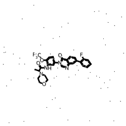 CC(C(=O)Nc1cc(-n2cnc3cc(-c4ccccc4F)ccc3c2=O)ccc1OC(F)(F)F)N1CCOCC1